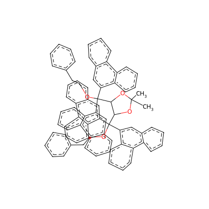 CC1(C)OC(C(OCCc2ccccc2)(c2cc3ccccc3c3ccccc23)c2cc3ccccc3c3ccccc23)C(C(OCCc2ccccc2)(c2cc3ccccc3c3ccccc23)c2cc3ccccc3c3ccccc23)O1